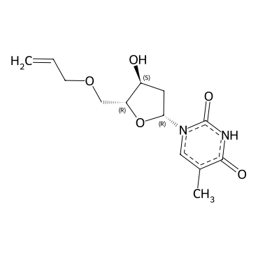 C=CCOC[C@H]1O[C@@H](n2cc(C)c(=O)[nH]c2=O)C[C@@H]1O